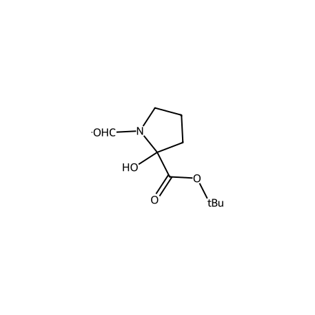 CC(C)(C)OC(=O)C1(O)CCCN1[C]=O